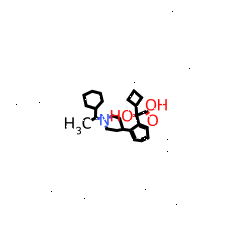 CC(C1CCCCC1)N1CCC(c2ccccc2C(O)(C(=O)O)C2CCC2)CC1